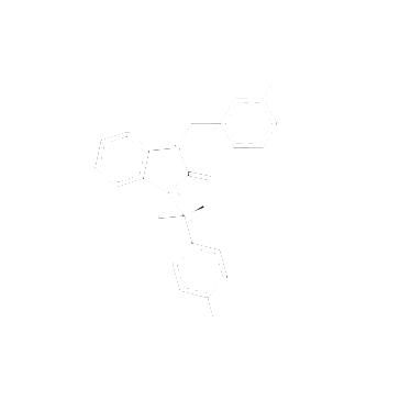 C[C@@]1(c2ccc(Cl)cc2)C[C@]12C(=O)N(Cc1cccc(C(=O)O)c1)c1ccccc12